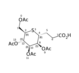 CC(=O)OC[C@H]1S[C@H](CCC(=O)O)[C@@H](OC(C)=O)[C@@H](OC(C)=O)[C@@H]1OC(C)=O